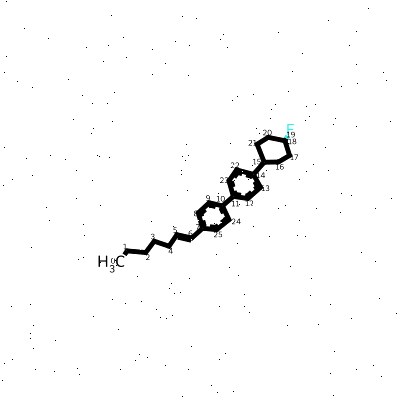 CCCCCC=Cc1ccc(-c2ccc(C3CCC(F)CC3)cc2)cc1